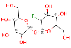 OCC1O[C@H](O[C@H]2OC(CO)[C@@H](O)[C@@H](O)C2O)C(F)[C@@H](O)[C@@H]1O